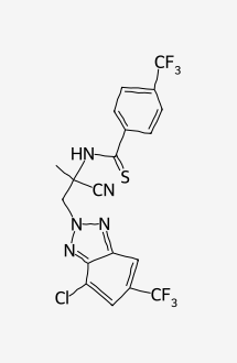 CC(C#N)(Cn1nc2cc(C(F)(F)F)cc(Cl)c2n1)NC(=S)c1ccc(C(F)(F)F)cc1